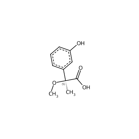 CO[C@](C)(C(=O)O)c1cccc(O)c1